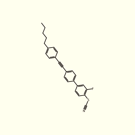 CCCCCc1ccc(C#Cc2ccc(-c3ccc(SC#N)c(F)c3)cc2)cc1